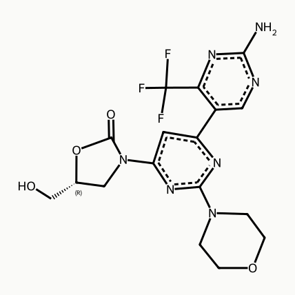 Nc1ncc(-c2cc(N3C[C@H](CO)OC3=O)nc(N3CCOCC3)n2)c(C(F)(F)F)n1